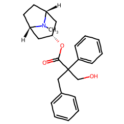 CN1[C@@H]2CC[C@H]1C[C@@H](OC(=O)C(CO)(Cc1ccccc1)c1ccccc1)C2